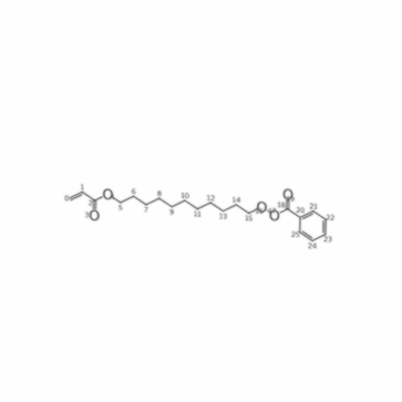 C=CC(=O)OCCCCCCCCCCCOOC(=O)c1ccccc1